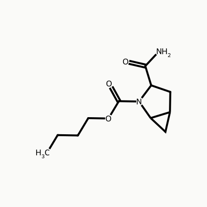 CCCCOC(=O)N1C(C(N)=O)CC2CC21